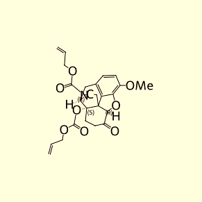 C=CCOC(=O)O[C@@]12CCC(=O)[C@@H]3Oc4c(OC)ccc5c4C31CCN(C(=O)OCC=C)[C@@H]2C5